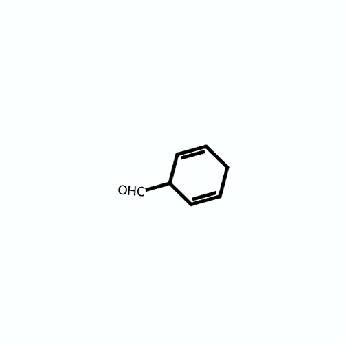 O=CC1C=CCC=C1